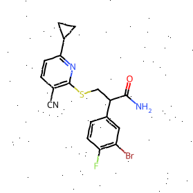 N#Cc1ccc(C2CC2)nc1SCC(C(N)=O)c1ccc(F)c(Br)c1